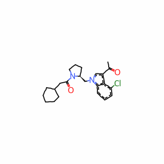 CC(=O)c1cn(C[C@@H]2CCCN2C(=O)CC2CCCCC2)c2cccc(Cl)c12